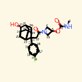 CNC(=O)OC1CN(C(=O)CC2(c3ccc(F)cc3)C3CC4CC2CC(C3)C4O)C1